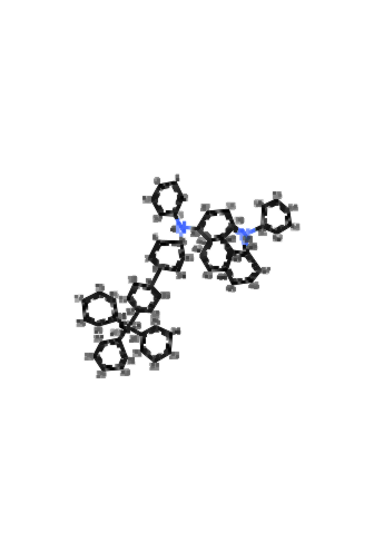 c1ccc(N(c2ccc(-c3ccc([Si](c4ccccc4)(c4ccccc4)c4ccccc4)cc3)cc2)c2ccc3c4c2ccc2cccc(c24)n3-c2ccccc2)cc1